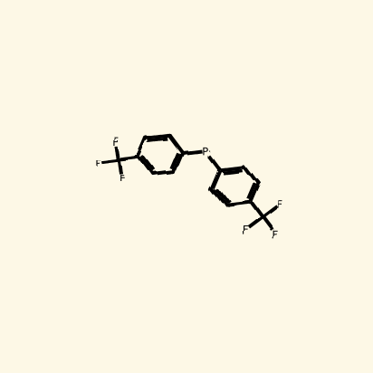 FC(F)(F)c1ccc([P]c2ccc(C(F)(F)F)cc2)cc1